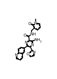 Cn1cccc(CNC(=O)c2nc(-c3ccc4ncccc4c3)c(-c3ncco3)nc2N)c1=O